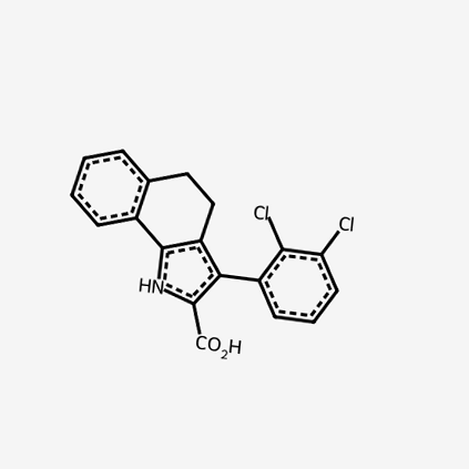 O=C(O)c1[nH]c2c(c1-c1cccc(Cl)c1Cl)CCc1ccccc1-2